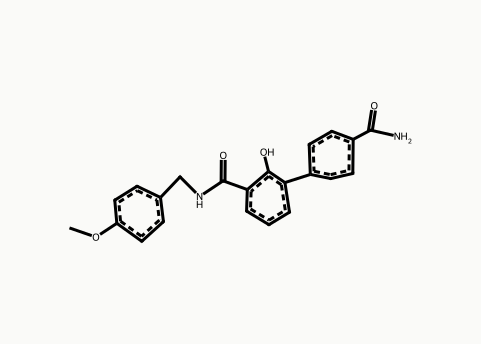 COc1ccc(CNC(=O)c2cccc(-c3ccc(C(N)=O)cc3)c2O)cc1